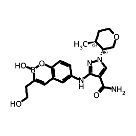 C[C@H]1CCOC[C@@H]1n1cc(C(N)=O)c(Nc2ccc3c(c2)C=C(CCO)B(O)O3)n1